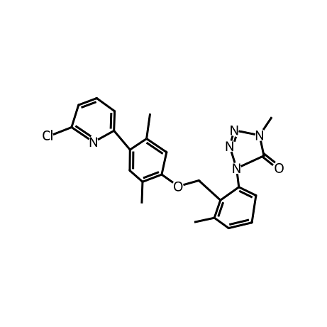 Cc1cc(-c2cccc(Cl)n2)c(C)cc1OCc1c(C)cccc1-n1nnn(C)c1=O